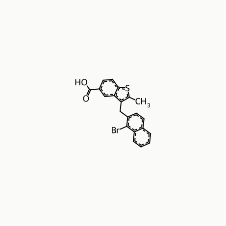 Cc1sc2ccc(C(=O)O)cc2c1Cc1ccc2ccccc2c1Br